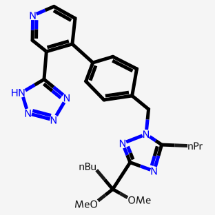 CCCCC(OC)(OC)c1nc(CCC)n(Cc2ccc(-c3ccncc3-c3nnn[nH]3)cc2)n1